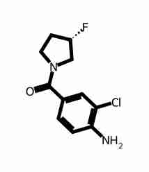 Nc1ccc(C(=O)N2CC[C@H](F)C2)cc1Cl